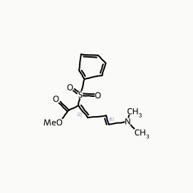 COC(=O)/C(=C/C=C/N(C)C)S(=O)(=O)c1ccccc1